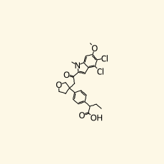 CCC(C(=O)O)c1ccc(C2(CC(=O)c3cc4c(Cl)c(Cl)c(OC)cc4n3C)CCOC2)cc1